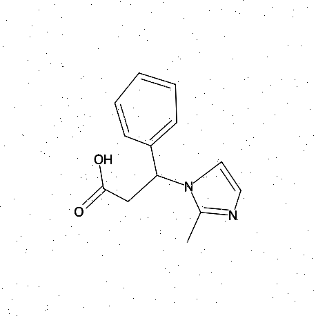 Cc1nccn1C(CC(=O)O)c1ccccc1